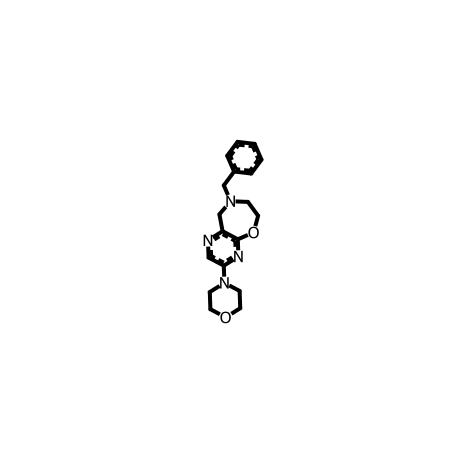 c1ccc(CN2CCOc3nc(N4CCOCC4)cnc3C2)cc1